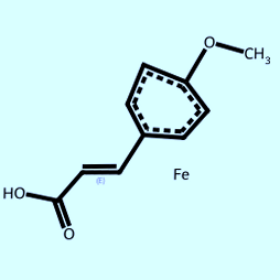 COc1ccc(/C=C/C(=O)O)cc1.[Fe]